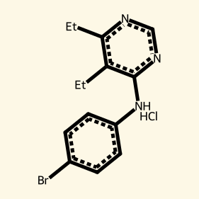 CCc1ncnc(Nc2ccc(Br)cc2)c1CC.Cl